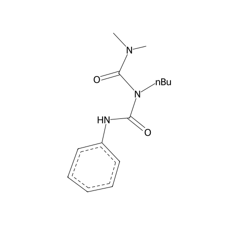 CCCCN(C(=O)Nc1ccccc1)C(=O)N(C)C